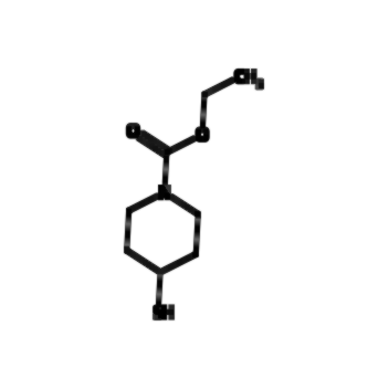 CCOC(=O)N1CCC(S)CC1